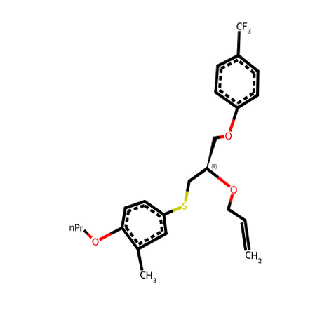 C=CCO[C@H](COc1ccc(C(F)(F)F)cc1)CSc1ccc(OCCC)c(C)c1